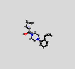 C=Cc1ccccc1N1CCN(C(=O)/C=C/CCCCCCC)CC1